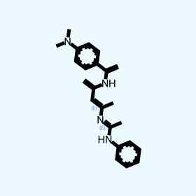 C=C(/C=C(C)/N=C(\C)Nc1ccccc1)NC(=C)c1ccc(N(C)C)cc1